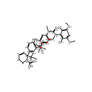 COc1cc(OC)c(Cl)c(N(COCC[Si](C)(C)C)C(=O)N(C)c2cc(Nc3ccc(C4(C(C)(C)C)C=CCCN4C(=O)O)cc3[N+](=O)[O-])ncn2)c1Cl